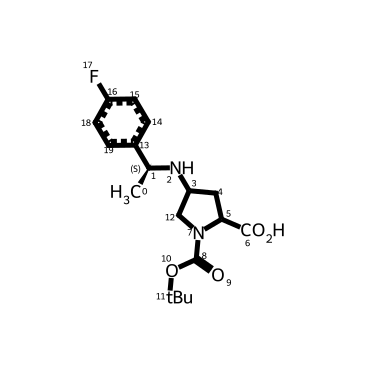 C[C@H](NC1CC(C(=O)O)N(C(=O)OC(C)(C)C)C1)c1ccc(F)cc1